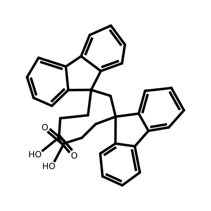 O=C(O)CCC1(CC2(CCC(=O)O)c3ccccc3-c3ccccc32)c2ccccc2-c2ccccc21